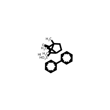 CC12CCC(C(S(=O)(=O)O)C1=O)C2(C)C.I.c1ccc(-c2ccccc2)cc1